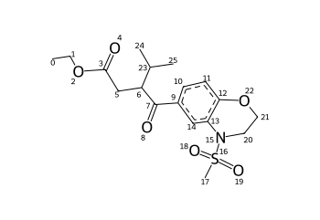 CCOC(=O)CC(C(=O)c1ccc2c(c1)N(S(C)(=O)=O)CCO2)C(C)C